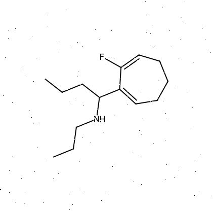 CCCNC(CCC)C1=CCCCC=C1F